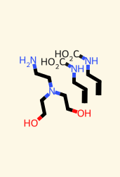 C=CCNC(=O)O.C=CCNC(=O)O.NCCN(CCO)CCO